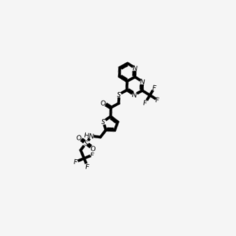 O=C(CSc1nc(C(F)(F)F)nc2ncccc12)c1ccc(CNS(=O)(=O)CC(F)(F)F)s1